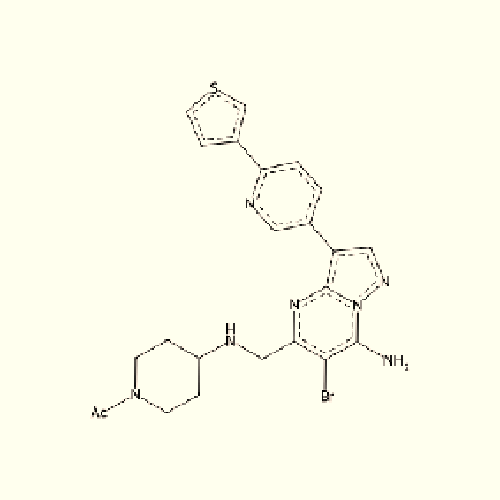 CC(=O)N1CCC(NCc2nc3c(-c4ccc(-c5ccsc5)nc4)cnn3c(N)c2Br)CC1